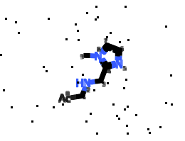 CC(=O)CNCc1nccn1C